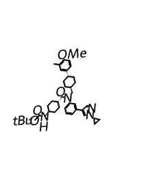 COc1ccc([C@H]2CC[C@H](CN(c3cccc(-c4cnn(C5CC5)c4)c3)C(=O)[C@H]3CC[C@H](NC(=O)OC(C)(C)C)CC3)CC2)cc1C